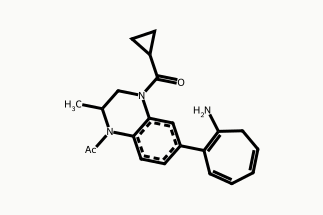 CC(=O)N1c2ccc(C3=C(N)CC=CC=C3)cc2N(C(=O)C2CC2)CC1C